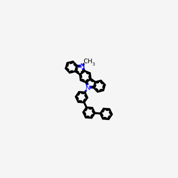 Cn1c2ccccc2c2cc3c(cc21)c1ccccc1n3-c1cccc(-c2cccc(-c3ccccc3)c2)c1